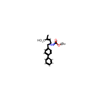 C/C(=C/C(Cc1ccc(-c2ccccc2)cc1)NC(=O)OC(C)(C)C)C(=O)O